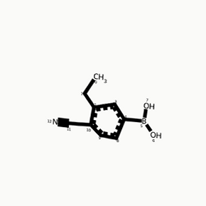 CCc1cc(B(O)O)ccc1C#N